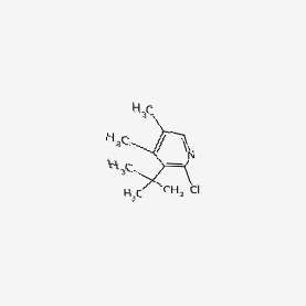 Cc1cnc(Cl)c(C(C)(C)C)c1C